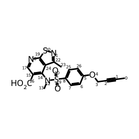 CC#CCOc1ccc(S(=O)(=O)N(C)c2c(C(=O)O)cnc3snc(C)c23)cc1